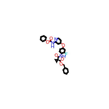 O=C(Nc1cc(Oc2ccc(NC(=O)C3(C(=O)OCc4ccccc4)CC3)c(F)c2)ccn1)Oc1ccccc1